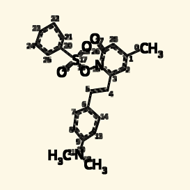 Cc1cc(C=Cc2ccc(N(C)C)cc2)n(OS(=O)(=O)c2ccccc2)c(=O)c1